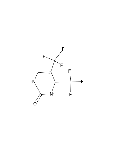 O=C1[N]C=C(C(F)(F)F)C(C(F)(F)F)[N]1